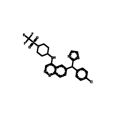 O=S(=O)(N1CCC(Nc2cnnc3ccc(C(c4ccc(Cl)cc4)c4nccs4)cc23)CC1)C(F)(F)F